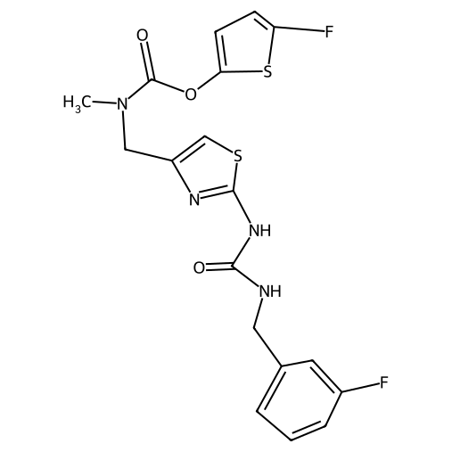 CN(Cc1csc(NC(=O)NCc2cccc(F)c2)n1)C(=O)Oc1ccc(F)s1